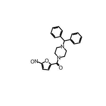 O=Nc1ccc(C(=O)N2CCN(C(c3ccccc3)c3ccccc3)CC2)o1